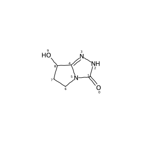 O=c1[nH]nc2n1CCC2O